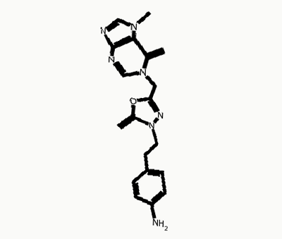 C=C1c2c(ncn2C)N=CN1CC1=NN(CCc2ccc(N)cc2)C(=C)O1